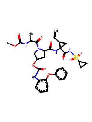 C=CC1C[C@]1(NC(=O)C1C[C@@H](OC(=O)Nc2ccccc2Oc2ccccc2)CN1C(=O)[C@@H](NC(=O)OC(C)(C)C)C(C)(C)C)C(=O)NS(=O)(=O)C1CC1